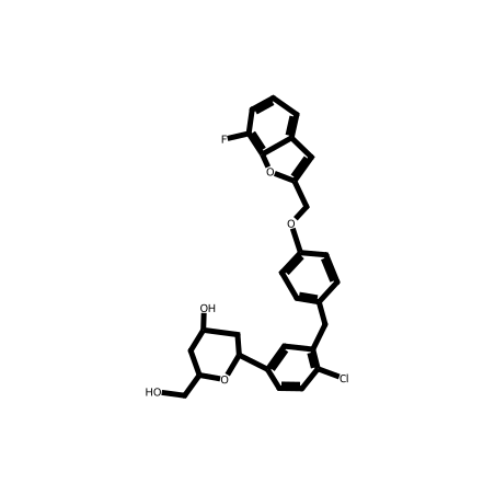 OCC1CC(O)CC(c2ccc(Cl)c(Cc3ccc(OCc4cc5cccc(F)c5o4)cc3)c2)O1